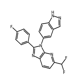 Fc1ccc(-c2nc3ccc(C(F)F)nc3n2-c2ccc3[nH]ncc3c2)cc1